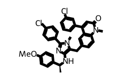 COc1ccc([C@H](C)Nc2nc(-c3ccc(Cl)cc3)n(C)c2Cc2ccc3c(c2)c(-c2cccc(Cl)c2)cc(=O)n3C)cc1